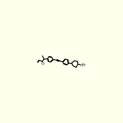 C=CC(=O)C(C)c1ccc(C#Cc2ccc(C3CCC(CCC)CC3)cc2)cc1